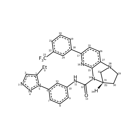 CCc1cnnn1-c1cccc(NC(=O)N2c3nc(-c4cccc(C(F)(F)F)c4)ccc3N3CC[C@H]2C3)c1